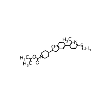 CSc1ccc(-c2ccc3c(c2)CC(C2CCN(C(=O)OC(C)C)CC2)O3)c(C)n1